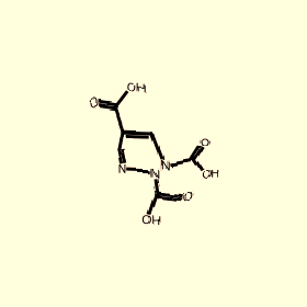 O=C(O)C1=CN(C(=O)O)N(C(=O)O)N=C1